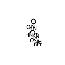 CCCNC(=O)n1ncc2c3nn(-c4ccccc4)c(=O)c-3c[nH]c21